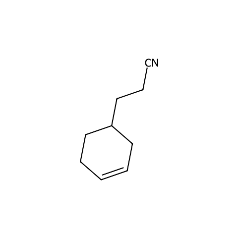 N#CCCC1CC=CCC1